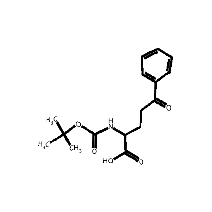 CC(C)(C)OC(=O)NC(CCC(=O)c1ccccc1)C(=O)O